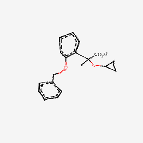 CC(OC1CC1)(C(=O)O)c1ccccc1OCc1ccccc1